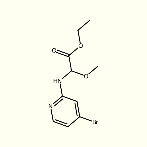 CCOC(=O)C(Nc1cc(Br)ccn1)OC